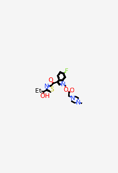 CC[C@H](O)c1csc(C(=O)c2cn(COC(=O)CN3CCN(C)CC3)c3cc(F)ccc23)n1